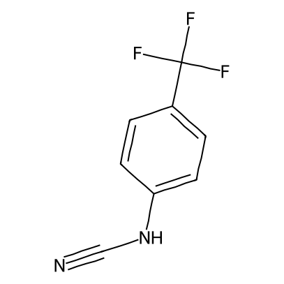 N#CNc1ccc(C(F)(F)F)cc1